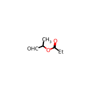 CCC(=O)OC(C)C=O